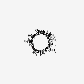 CCCC[C@H]1C(=O)N(C)[C@@H](CCCC)C(=O)N[C@@H](CN)C(=O)N[C@H](C(=O)NCC(N)=O)CSCC(=O)N[C@@H](Cc2ccc(O)cc2)C(=O)N(C)[C@@H](C)C(=O)N[C@@H](CC(=O)O)C(=O)N2CCC[C@H]2C(=O)N[C@@H](Cc2c[nH]cn2)C(=O)N[C@@H](CCC(N)=O)C(=O)N2C[C@H](O)C[C@H]2C(=O)N[C@@H](Cc2c[nH]c3ccccc23)C(=O)N[C@@H](CO)C(=O)N[C@@H](Cc2c[nH]c3ccccc23)C(=O)N1C